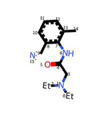 CCN(CC)CC(=O)Nc1c(C)cccc1C.[N]